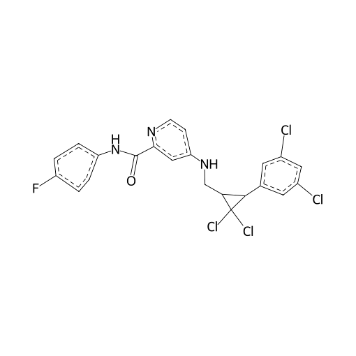 O=C(Nc1ccc(F)cc1)c1cc(NCC2C(c3cc(Cl)cc(Cl)c3)C2(Cl)Cl)ccn1